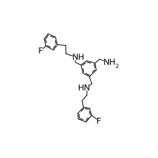 NCc1cc(CNCCc2cccc(F)c2)cc(CNCCc2cccc(F)c2)c1